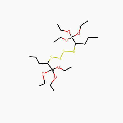 CCCC(SSSSC(CCC)[Si](OCC)(OCC)OCC)[Si](OCC)(OCC)OCC